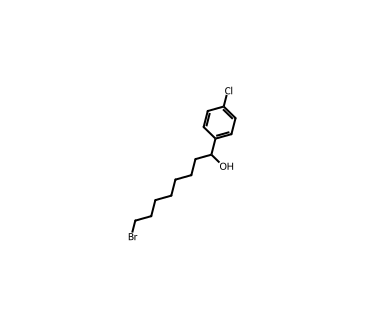 OC(CCCCCCCBr)c1ccc(Cl)cc1